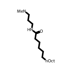 CCCCCCCCCCCCCC(=O)NCCCNC